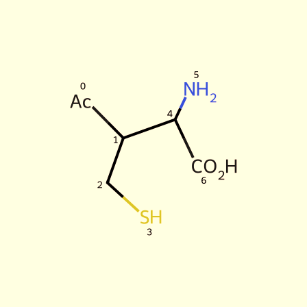 CC(=O)C(CS)C(N)C(=O)O